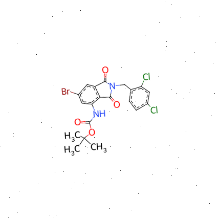 CC(C)(C)OC(=O)Nc1cc(Br)cc2c1C(=O)N(Cc1ccc(Cl)cc1Cl)C2=O